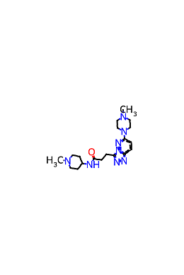 CN1CCC(NC(=O)CCc2nnc3ccc(N4CCN(C)CC4)nn23)CC1